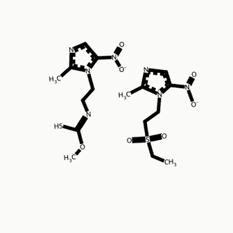 CCS(=O)(=O)CCn1c([N+](=O)[O-])cnc1C.COC(S)=NCCn1c([N+](=O)[O-])cnc1C